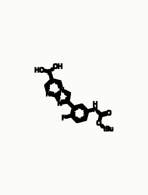 CC(C)(C)OC(=O)Nc1ccc(F)c(-c2cn3cc(B(O)O)cnc3n2)c1